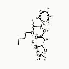 CCCCOC(=O)[C@@H](OC(=O)C[C@@H]1OC(C)(C)OC1=O)c1ccccc1